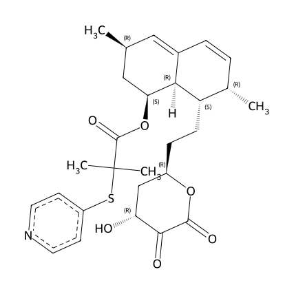 C[C@H]1C=C2C=C[C@H](C)[C@H](CC[C@@H]3C[C@@H](O)C(=O)C(=O)O3)[C@H]2[C@@H](OC(=O)C(C)(C)Sc2ccncc2)C1